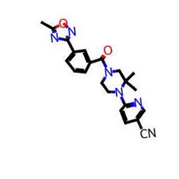 Cc1nc(-c2cccc(C(=O)N3CCN(c4ccc(C#N)cn4)C(C)(C)C3)c2)no1